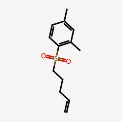 C=CCCCS(=O)(=O)c1ccc(C)cc1C